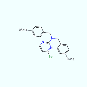 COc1ccc(CN(Cc2ccc(OC)cc2)c2nccc(Br)n2)cc1